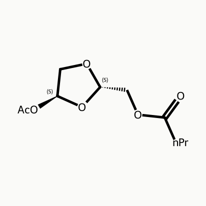 CCCC(=O)OC[C@H]1OC[C@H](OC(C)=O)O1